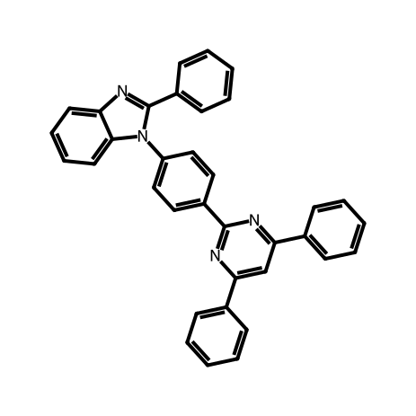 c1ccc(-c2cc(-c3ccccc3)nc(-c3ccc(-n4c(-c5ccccc5)nc5ccccc54)cc3)n2)cc1